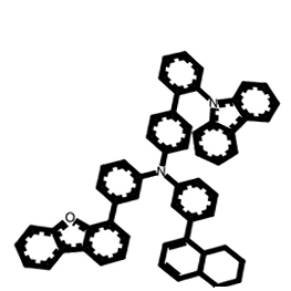 C1=CC2CCCCC2C(c2cccc(N(c3ccc(-c4ccccc4-n4c5ccccc5c5ccccc54)cc3)c3cccc(-c4cccc5c4oc4ccccc45)c3)c2)=C1